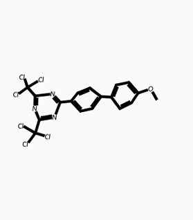 COc1ccc(-c2ccc(-c3nc(C(Cl)(Cl)Cl)nc(C(Cl)(Cl)Cl)n3)cc2)cc1